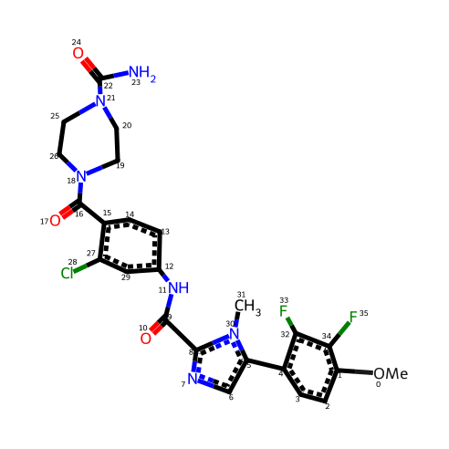 COc1ccc(-c2cnc(C(=O)Nc3ccc(C(=O)N4CCN(C(N)=O)CC4)c(Cl)c3)n2C)c(F)c1F